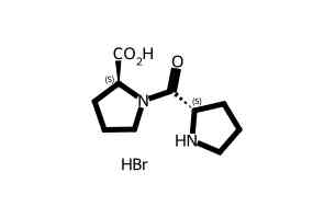 Br.O=C(O)[C@@H]1CCCN1C(=O)[C@@H]1CCCN1